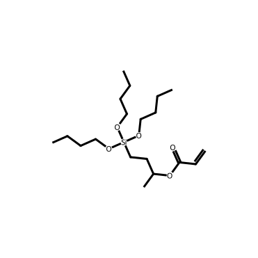 C=CC(=O)OC(C)CC[Si](OCCCC)(OCCCC)OCCCC